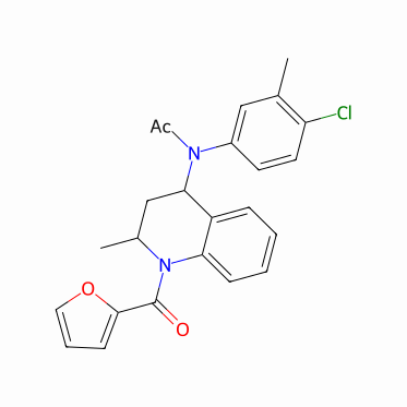 CC(=O)N(c1ccc(Cl)c(C)c1)C1CC(C)N(C(=O)c2ccco2)c2ccccc21